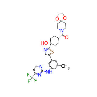 Cc1cc(Nc2nccc(C(F)(F)F)n2)cc(-c2cnc([C@]3(O)CC[C@@H](C(=O)N4CCC5(CC4)OCCO5)CC3)s2)c1